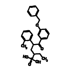 CCC(CC(C(=O)c1cccc(OCc2ccccc2)c1)c1ccccc1C)P(=O)(O)O